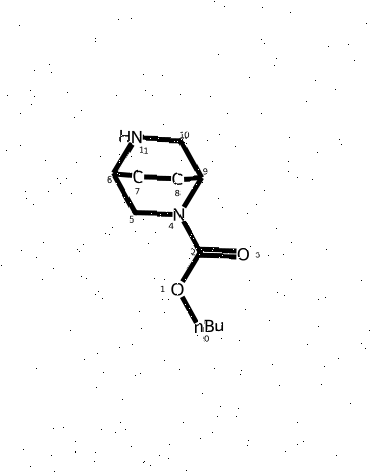 CCCCOC(=O)N1CC2CCC1CN2